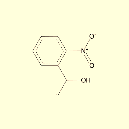 [CH2]C(O)c1ccccc1[N+](=O)[O-]